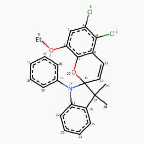 CCOc1cc(Cl)c(Cl)c2c1OC1(C=C2)N(c2ccccc2)c2ccccc2C1(C)C